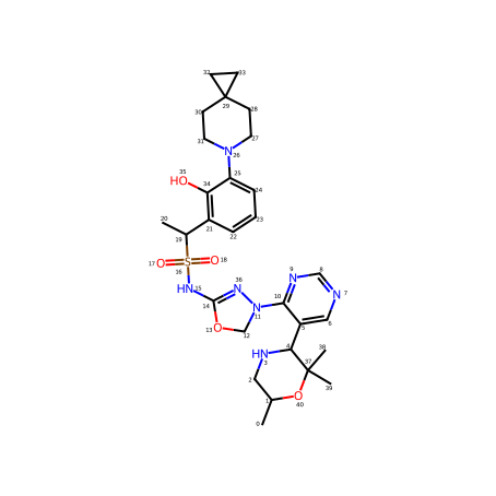 CC1CNC(c2cncnc2N2COC(NS(=O)(=O)C(C)c3cccc(N4CCC5(CC4)CC5)c3O)=N2)C(C)(C)O1